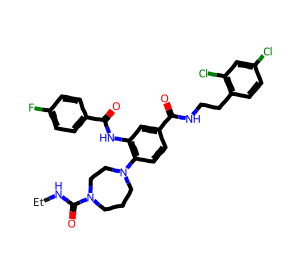 CCNC(=O)N1CCCN(c2ccc(C(=O)NCCc3ccc(Cl)cc3Cl)cc2NC(=O)c2ccc(F)cc2)CC1